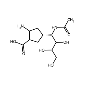 CC(=O)NC(C(O)C(O)CO)[C@H]1CC(N)C(C(=O)O)C1